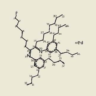 CCCCCCCCC(=Nc1cc(CCCC)cc(CCCC)c1)C(CCCCCCCC)=Nc1cc(CCCC)cc(CCCC)c1.[Pd]